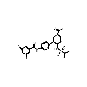 CC(=O)N1CCC(NS(=O)(=O)C(C)C)C(c2ccc(NC(=O)c3cc(F)cc(F)c3)cc2)C1